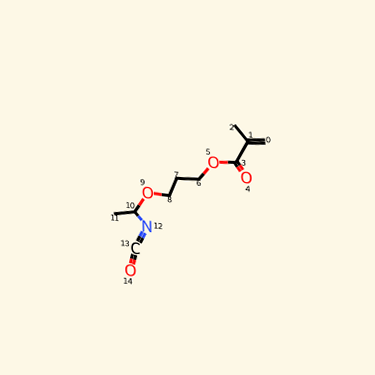 C=C(C)C(=O)OCCCOC(C)N=C=O